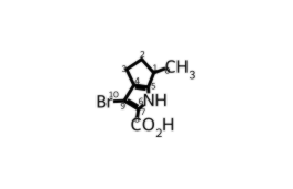 CC1CCc2c1[nH]c(C(=O)O)c2Br